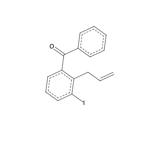 C=CCc1c(I)cccc1C(=O)c1ccccc1